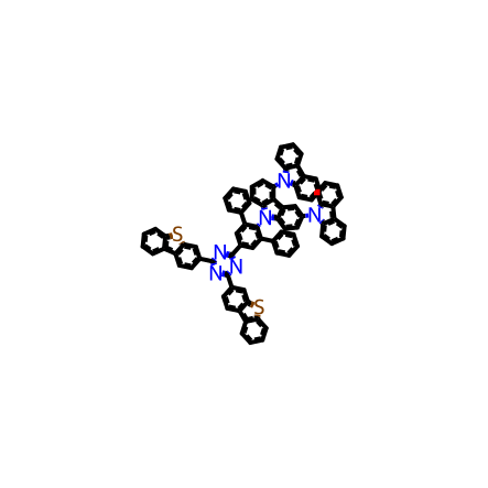 c1ccc(-c2cc(-c3nc(-c4ccc5c(c4)sc4ccccc45)nc(-c4ccc5c(c4)sc4ccccc45)n3)cc(-c3ccccc3)c2-n2c3ccc(-n4c5ccccc5c5ccccc54)cc3c3c(-n4c5ccccc5c5ccccc54)cccc32)cc1